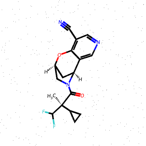 C[C@@](C(=O)N1C[C@@H]2C[C@H]1c1cncc(C#N)c1O2)(C(F)F)C1CC1